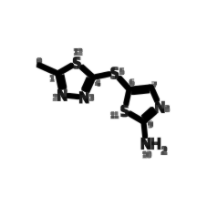 Cc1nnc(Sc2cnc(N)s2)s1